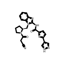 N#CCC(=O)N1CCC[C@H]1Cn1c(NC(=O)c2ccc(-c3cn[nH]c3)s2)nc2ccccc21